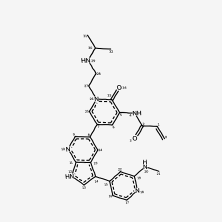 C=CC(=O)Nc1cc(-c2cnc3[nH]cc(-c4ccnc(NC)c4)c3c2)cn(CCNC(C)C)c1=O